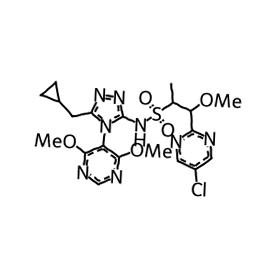 COc1ncnc(OC)c1-n1c(CC2CC2)nnc1NS(=O)(=O)C(C)C(OC)c1ncc(Cl)cn1